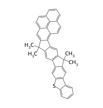 CC1(C)c2cc3c(cc2-c2cc4sc5ccccc5c4cc21)C(C)(C)c1cc2ccc4cccc5ccc(c1-3)c2c45